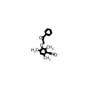 Cc1cc(C)c(OCC2OC2c2ccccc2)c(C)c1C#[N+][O-]